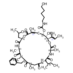 C/C=C(\C)[C@H]1OC(=O)[C@@H](C)NC(=O)[C@H]([C@H](C)CC)NC(=O)CN(C)C(=O)[C@@H](Cc2ccccc2)N(C)C(=O)[C@H](C)NC(=O)[C@@H](CC(C)C)OC(=O)/C(C)=C/C[C@H](OC(=O)NCCCCCO)[C@@H]1C